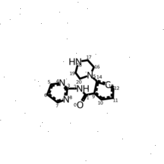 O=C(Nc1ncccn1)c1ccccc1N1CCNCC1